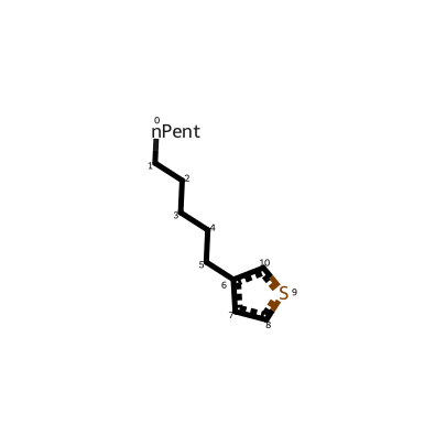 CCCCCCCCCCc1ccsc1